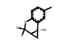 Cc1ccc2c(c1)[C@H]1CC1C(F)(F)O2